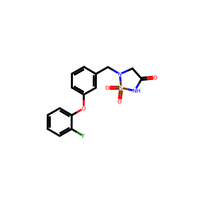 O=C1CN(Cc2cccc(Oc3ccccc3F)c2)S(=O)(=O)N1